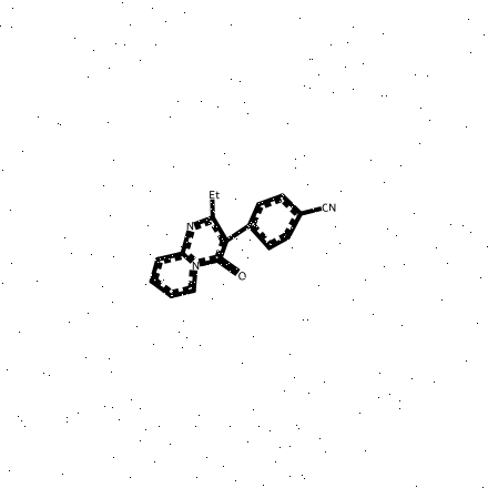 CCc1nc2ccccn2c(=O)c1-c1ccc(C#N)cc1